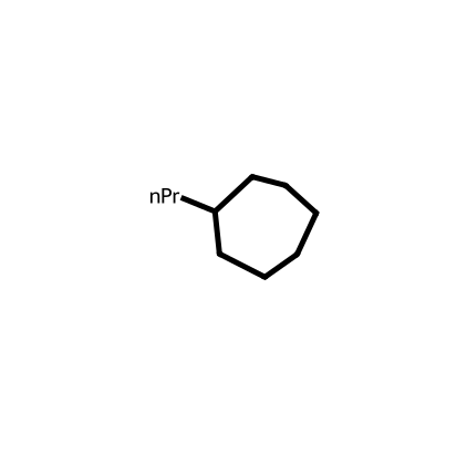 C[CH]CC1CCCCCC1